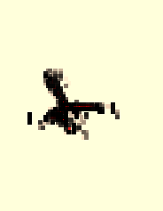 CCCCCCCCCCCCCC1=C(c2cc(CC)c(CCCCC)c(CC)c2)[N+](=[N-])C(c2cc(CC)c(CCCCC)c(CC)c2)=C1CCCC.CCCCCCCCCCCCCCCCCCCCCCCCCCCCC[CH2][Pd][CH2]CCCCCCCCCCCCCCCCCCCCCCCCCCCCC